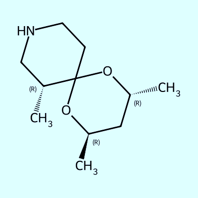 C[C@@H]1C[C@@H](C)OC2(CCNC[C@H]2C)O1